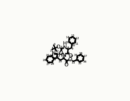 CC(C)(C)OC(=O)NC(Cc1ccccc1)C(=O)NC(Cc1c[nH]c2ccccc12)C(=O)OCc1ccccc1